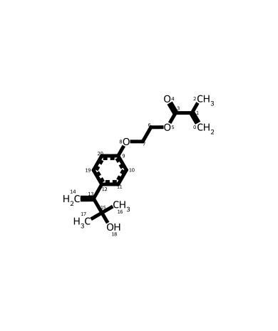 C=C(C)C(=O)OCCOc1ccc(C(=C)C(C)(C)O)cc1